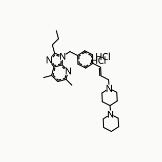 CCCc1nc2c(C)cc(C)nc2n1Cc1ccc(C=CCN2CCC(N3CCCCC3)CC2)cc1.Cl.Cl